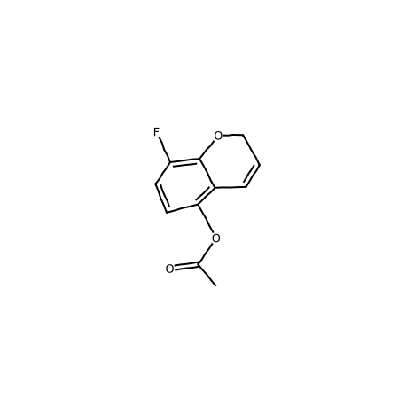 CC(=O)Oc1ccc(F)c2c1C=CCO2